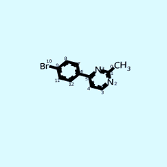 Cc1nccc(-c2ccc(Br)cc2)n1